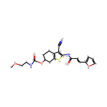 COCCNC(=O)OC1CCc2c(sc(NC(=O)C=Cc3ccco3)c2C#N)C1